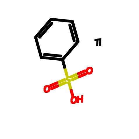 O=S(=O)(O)c1ccccc1.[Ti]